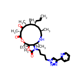 B[C@H]1[C@@H](CC=C)C[C@@H](C)CN[C@H](C)[C@H]2N(CCCCn3cc(-c4ccccn4)nn3)C(=O)O[C@]2(C)[C@@H](CC)OC(=O)[C@H](C)C(=O)[C@@H]1C